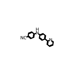 N#Cc1ccc(Nc2ccc(-c3ccccn3)cc2)cc1